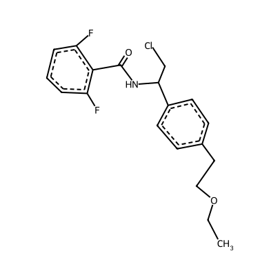 CCOCCc1ccc(C(CCl)NC(=O)c2c(F)cccc2F)cc1